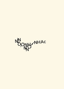 CC(=O)NCC#Cc1ccc2ncnc(Nc3ccc(Oc4cnc(C)nc4)c(C)c3)c2c1